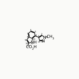 Cn1cc(-c2cccc3cc(C(=O)O)[nH]c23)cn1